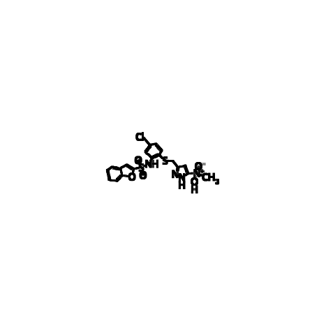 C[N+]([O-])(O)c1cc(CSc2ccc(Cl)cc2NS(=O)(=O)c2cc3ccccc3o2)n[nH]1